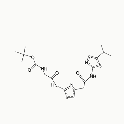 CC(C)c1cnc(NC(=O)Cc2csc(NC(=O)CNC(=O)OC(C)(C)C)n2)s1